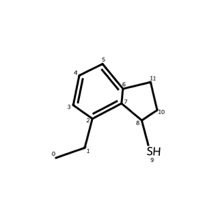 CCc1cccc2c1C(S)CC2